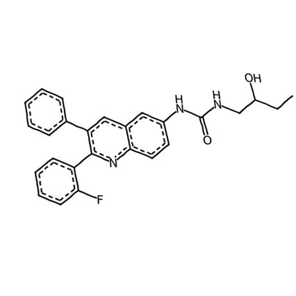 CCC(O)CNC(=O)Nc1ccc2nc(-c3ccccc3F)c(-c3ccccc3)cc2c1